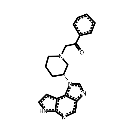 O=C(CN1CCC[C@@H](n2cnc3cnc4[nH]ccc4c32)C1)c1ccccc1